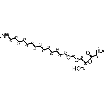 CCCCCCCCCCCC(=O)O[C@H](CO)COCOCCCCCCCCCCCCCCNC(C)=O